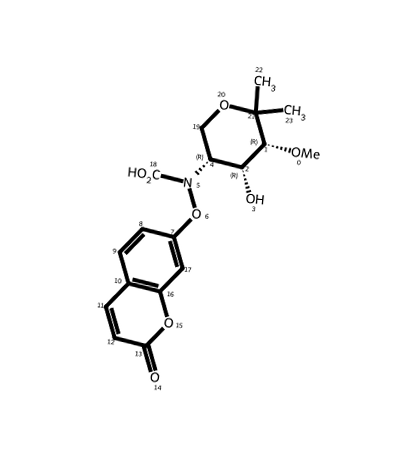 CO[C@@H]1[C@H](O)[C@H](N(Oc2ccc3ccc(=O)oc3c2)C(=O)O)COC1(C)C